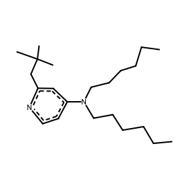 CCCCCCN(CCCCCC)c1ccnc(CC(C)(C)C)c1